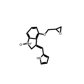 [O-][NH+]1CC(=Cc2ccc[nH]2)c2c(OCC3CO3)cccc21